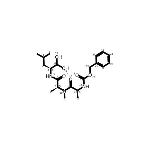 CC(C)C[C@H](NC(=O)[C@H](C)N(C)C(=O)[C@H](C)NC(=O)OCc1ccccc1)C(O)O